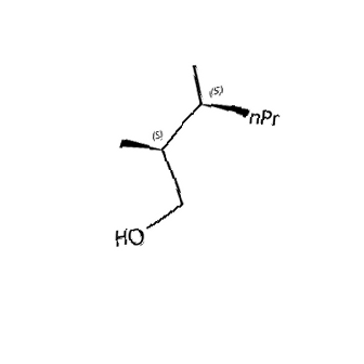 CCC[C@H](C)[C@H](C)CO